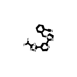 N#Cc1ccccc1Cn1ccnc1-c1cc(-c2nnc(C(F)F)o2)ccn1